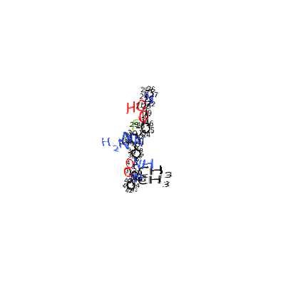 Cc1c(C(=O)Nc2ccc(-c3nc(-c4cccc(OCC(O)CN5CCCC5)c4F)cnc3N)cc2)c(=O)n(-c2ccccc2)n1C